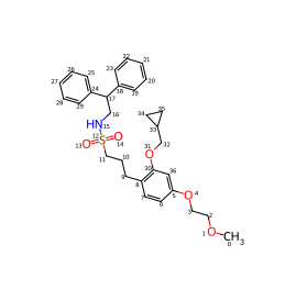 COCCOc1ccc(CCCS(=O)(=O)NCC(c2ccccc2)c2ccccc2)c(OCC2CC2)c1